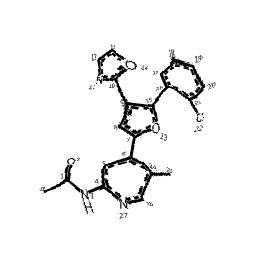 CC(=O)Nc1cc(-c2cc(-c3ncco3)c(-c3ccccc3Cl)o2)c(C)cn1